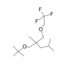 CC(C)CC(C)(COCC(F)(F)F)COC(C)(C)C